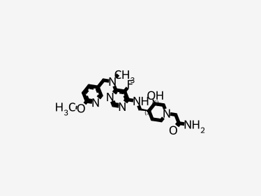 COc1ccc(CN(C)c2ncnc(NC[C@@H]3CCN(CC(N)=O)C[C@H]3O)c2F)cn1